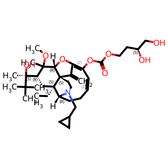 C=C1/C2=C(OC(=O)OCC[C@H](O)CO)\C=C/CC[C@H]3N(CC4CC4)CC[C@@]14[C@@H](O2)C(C)(OC)[C@@H]([C@](C)(O)C(C)(C)C)C[C@]34CC